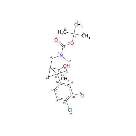 CC(O)C12CN(C(=O)OC(C)(C)C)CCC1(c1ccc(Cl)c(Cl)c1)C2